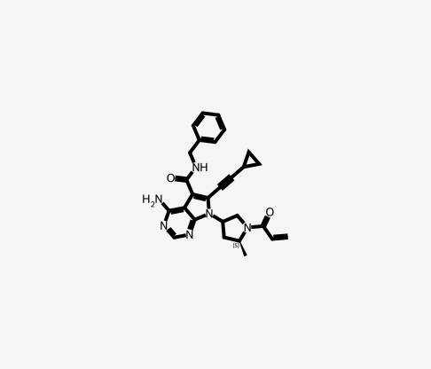 C=CC(=O)N1CC(n2c(C#CC3CC3)c(C(=O)NCc3ccccc3)c3c(N)ncnc32)C[C@@H]1C